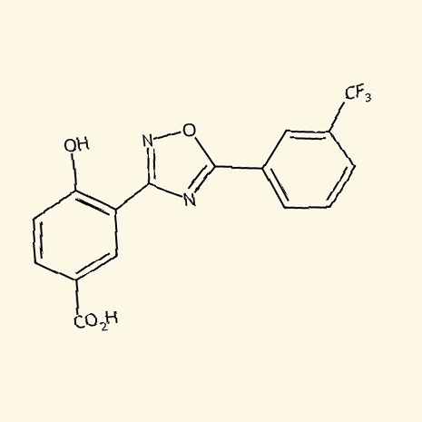 O=C(O)c1ccc(O)c(-c2noc(-c3cccc(C(F)(F)F)c3)n2)c1